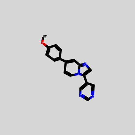 CC(C)Oc1ccc(-c2ccn3c(-c4cncnc4)cnc3c2)cc1